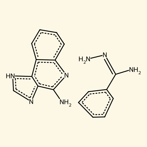 N/N=C(/N)c1ccccc1.Nc1nc2ccccc2c2[nH]cnc12